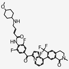 COC1CCC(NC/C=C/C(=O)Nc2c(F)cc(C(=O)c3ccc4c(-c5cc6c(cc5C(F)(F)F)CCN(C)C6=O)cccn34)cc2F)CC1